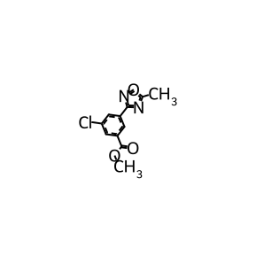 COC(=O)c1cc(Cl)cc(-c2noc(C)n2)c1